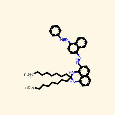 CCCCCCCCCCCCCCCCCC1(CCCCCCCCCCCCCCCCC)Nc2cccc3ccc(/N=N/c4ccc(/N=N/c5ccccc5)c5ccccc45)c(c23)N1